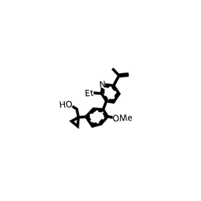 C=C(C)c1ccc(-c2cc(C3(CO)CC3)ccc2OC)c(CC)n1